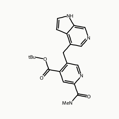 CNC(=O)c1cc(C(=O)OC(C)(C)C)c(Cc2cncc3[nH]ccc23)cn1